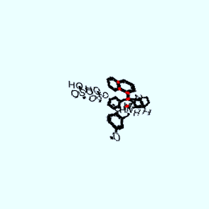 COc1ccc(OC)c(CN[C@@H]2[C@@H]3CCN([C@@H](CCc4ccccc4)C3)[C@@H]2C(c2ccccc2)c2ccccc2)c1.CS(=O)(=O)O.CS(=O)(=O)O